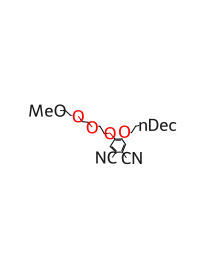 CCCCCCCCCCCCOc1cc(C#N)c(C#N)cc1OCCOCCOCCOC